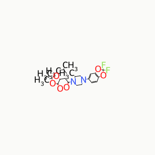 CC(C)C[C@H](C(=O)N1CCN(c2ccc3c(c2)OC(F)(F)O3)C[C@H]1C)[C@@H]1OC(C)(C)OC1=O